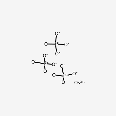 [O-][I+3]([O-])([O-])[O-].[O-][I+3]([O-])([O-])[O-].[O-][I+3]([O-])([O-])[O-].[Os+3]